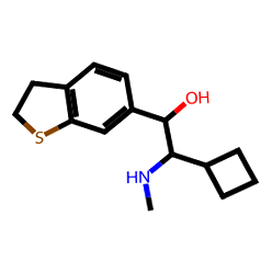 CNC(C1CCC1)C(O)c1ccc2c(c1)SCC2